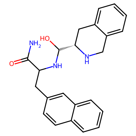 NC(=O)C(Cc1ccc2ccccc2c1)NC(O)[C@@H]1Cc2ccccc2CN1